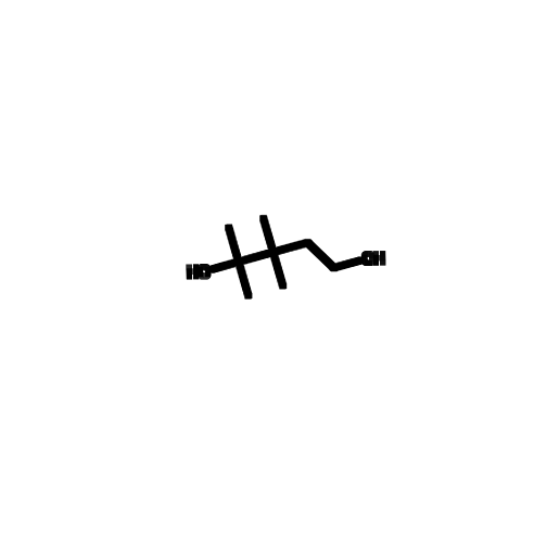 CC(C)(O)C(C)(C)CCO